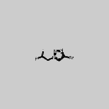 FC(F)Cn1cc(Br)nn1